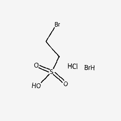 Br.Cl.O=S(=O)(O)CCBr